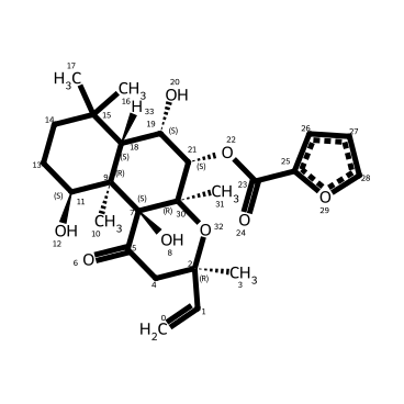 C=C[C@@]1(C)CC(=O)[C@]2(O)[C@@]3(C)[C@@H](O)CCC(C)(C)[C@@H]3[C@H](O)[C@H](OC(=O)c3ccco3)[C@@]2(C)O1